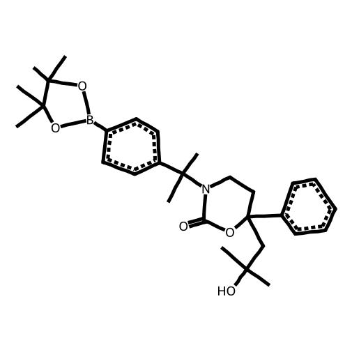 CC(C)(O)CC1(c2ccccc2)CCN(C(C)(C)c2ccc(B3OC(C)(C)C(C)(C)O3)cc2)C(=O)O1